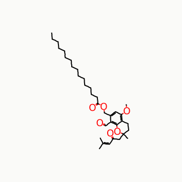 CCCCCCCCCCCCCCCC(=O)OCc1cc(OC)c2c(c1C=O)OC(C)(CC(=O)C=C(C)C)CC2